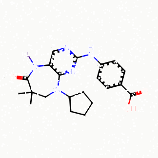 CC1(C)CN(C2CCCC2)c2nc(Nc3ccc(C(=O)O)cc3)ncc2N(I)C1=O